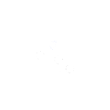 CCCCc1nc(CO)c(Sc2ccccc2)n1Cc1ccc(-c2ccccc2C(=O)O)cc1